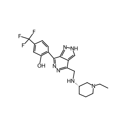 CCN1CCC[C@H](NCc2nnc(-c3ccc(C(F)(F)F)cc3O)c3n[nH]cc23)C1